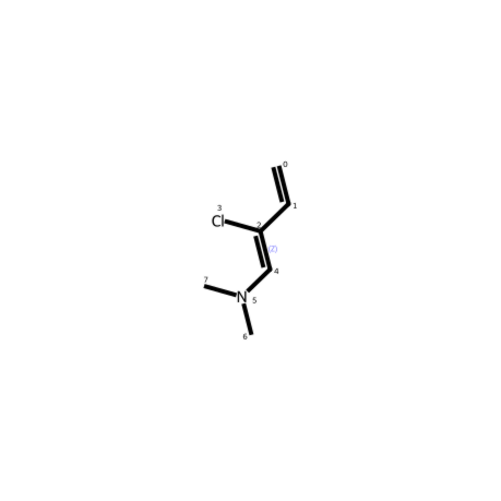 C=C/C(Cl)=C/N(C)C